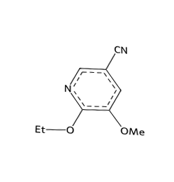 CCOc1ncc(C#N)cc1OC